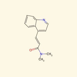 CN(C)C(=O)C=Cc1ccnc2ccccc12